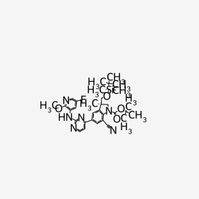 COc1ncc(F)cc1Nc1nccc(-c2cc(C#N)c3c(c2)[C@@](C)(CO[Si](C)(C)C(C)(C)C)CN3C(=O)OC(C)(C)C)n1